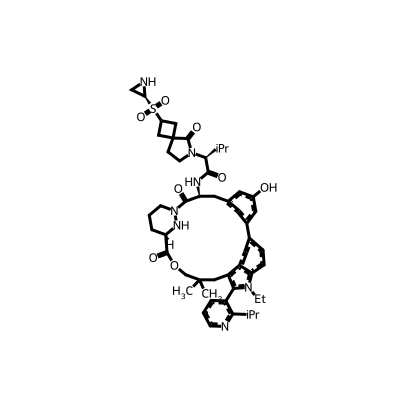 CCn1c(-c2cccnc2C(C)C)c2c3cc(ccc31)-c1cc(O)cc(c1)C[C@H](NC(=O)[C@H](C(C)C)N1CCC3(CC(S(=O)(=O)[C@H]4CN4)C3)C1=O)C(=O)N1CCC[C@H](N1)C(=O)OCC(C)(C)C2